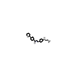 CN(C)CCNc1ccc(/C=C/C(=O)c2ccc(-c3ccccn3)cc2)cc1